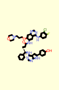 C=CC(=O)Nc1cc2c(Nc3ccc(F)c(Cl)c3)ncnc2cc1OCCCN1CCOCC1.C[C@@H](Nc1ncnc2[nH]c(-c3ccc(O)cc3)cc12)c1ccccc1